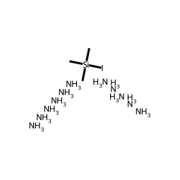 C[Si](C)(C)I.N.N.N.N.N.N.N.N.N.N.N